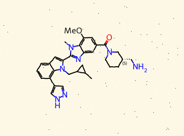 COc1cc(C(=O)N2CCC[C@@H](CN)C2)cc2nc(-c3cc4cccc(-c5cn[nH]c5)c4n3CC3CC3C)n(C)c12